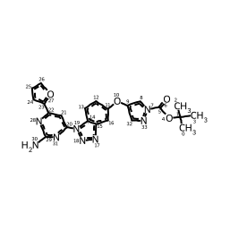 CC(C)(C)OC(=O)n1cc(Oc2ccc3c(c2)nnn3-c2cc(-c3ccco3)nc(N)n2)cn1